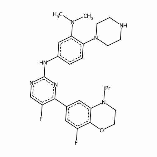 CC(C)N1CCOc2c(F)cc(-c3nc(Nc4ccc(N5CCNCC5)c(N(C)C)c4)ncc3F)cc21